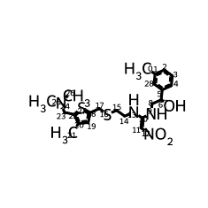 Cc1cccc(C(O)CN/C(=C\[N+](=O)[O-])NCCSCc2cc(C)c(CN(C)C)s2)c1